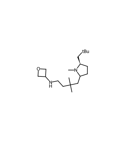 CN1C(CC(C)(C)CCNC2COC2)CC[C@@H]1CC(C)(C)C